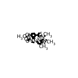 CCN(c1nc(-c2ccc(F)cc2)cs1)c1c2nc(N3CCN(C(=O)OC(C)(C)C)CC3)cc(C)c2nn1CC